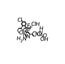 Cl.Nc1nc(O[C@H](c2ccc(Cl)cc2C2=CCCOC2)C(F)(F)F)cc(C2=CC[C@]3(CC2)CN[C@H](C(=O)O)C3)n1